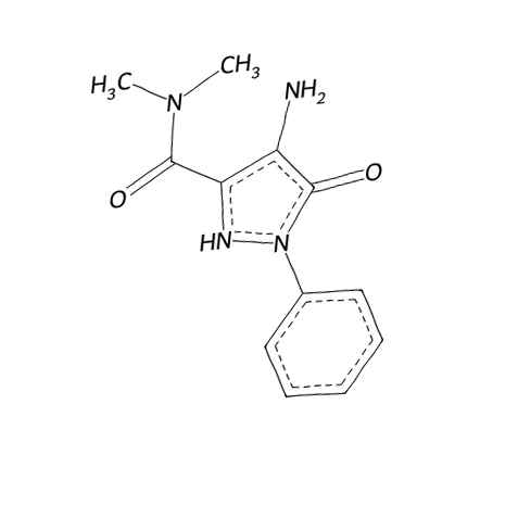 CN(C)C(=O)c1[nH]n(-c2ccccc2)c(=O)c1N